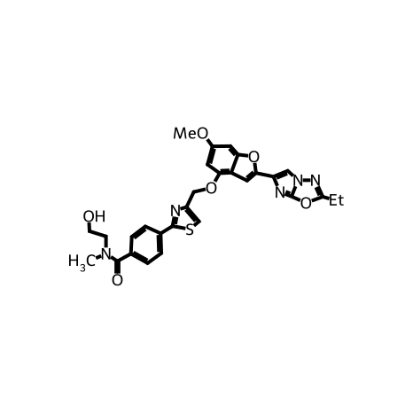 CCc1nn2cc(-c3cc4c(OCc5csc(-c6ccc(C(=O)N(C)CCO)cc6)n5)cc(OC)cc4o3)nc2o1